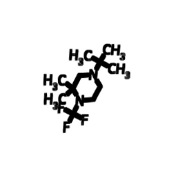 CC(C)(C)N1CCN(C(F)(F)F)C(C)(C)C1